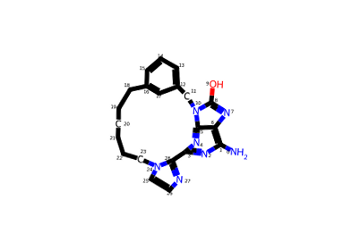 Nc1nc2nc3c1nc(O)n3Cc1cccc(c1)CCCCCCn1ccnc1-2